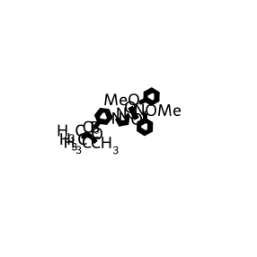 COC(c1ccccc1)N(C(OC)c1ccccc1)S(=O)(=O)c1ccn(-c2cccc(B3OC(C)(C)C(C)(C)O3)c2)n1